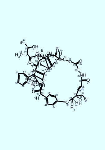 CC[C@H](C)[C@H]1NC(=O)[C@@H](NC(=O)[C@H](C)[C@H](O)C(C)C)[C@@H](C)OC(=O)[C@@H]2COC(=O)CNC(=O)/C=C/[C@](O)(CBr)[C@@H](C)Oc3ccc(cc3)[C@H](NC1=O)C(=O)N(C)[C@@H](Cc1ccccc1)C(=O)N[C@H]([C@@H](C)O)C(=O)N2